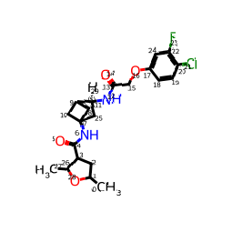 CC1CC(C(=O)NC23CC(C2)[C@@H](NC(=O)COc2ccc(Cl)c(F)c2)C3)C(C)O1